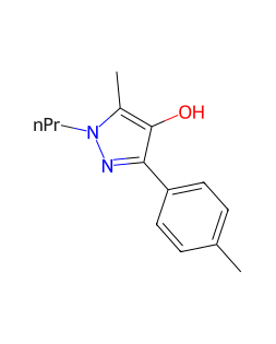 CCCn1nc(-c2ccc(C)cc2)c(O)c1C